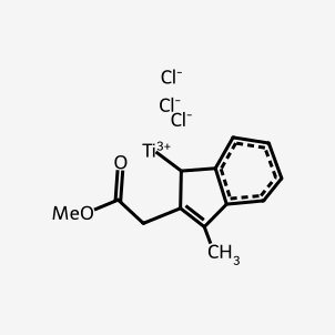 COC(=O)CC1=C(C)c2ccccc2[CH]1[Ti+3].[Cl-].[Cl-].[Cl-]